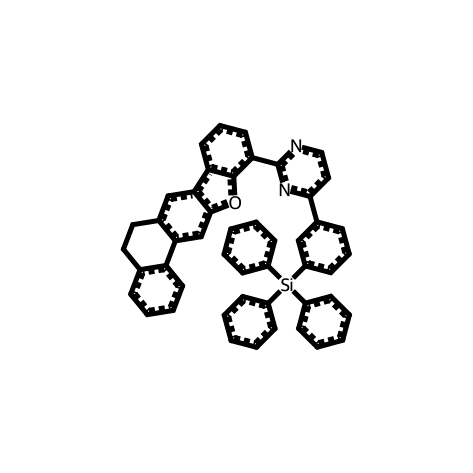 c1ccc([Si](c2ccccc2)(c2ccccc2)c2cccc(-c3ccnc(-c4cccc5c4oc4cc6c(cc45)CCc4ccccc4-6)n3)c2)cc1